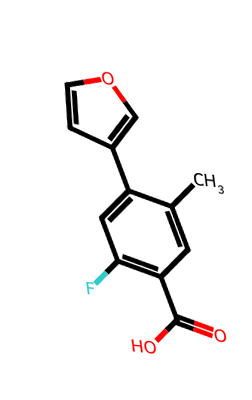 Cc1cc(C(=O)O)c(F)cc1-c1ccoc1